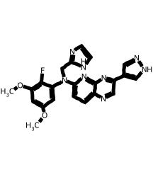 COc1cc(OC)c(F)c(N(Cc2ncc[nH]2)c2ccc3ncc(-c4cn[nH]c4)nc3n2)c1